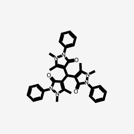 Cc1c(C(c2c(C)n(C)n(-c3ccccc3)c2=O)c2c(C)n(C)n(-c3ccccc3)c2=O)c(=O)n(-c2ccccc2)n1C